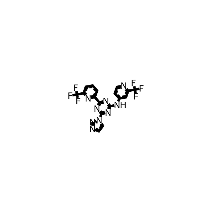 FC(F)(F)c1cc(Nc2nc(-c3cccc(C(F)(F)F)n3)nc(-n3ccnn3)n2)ccn1